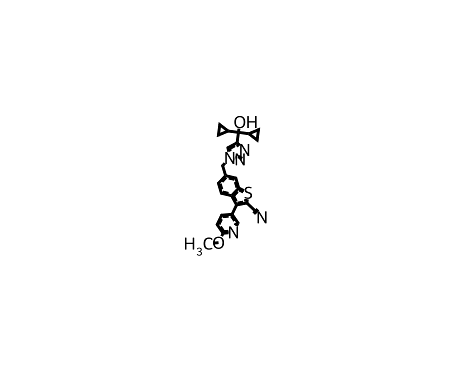 COc1ccc(-c2c(C#N)sc3cc(Cn4cc(C(O)(C5CC5)C5CC5)nn4)ccc23)cn1